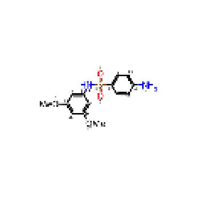 COc1cc(NS(=O)(=O)c2ccc(N)cc2)cc(OC)c1